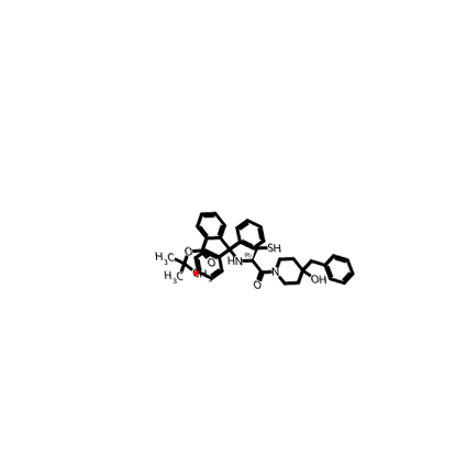 CC(C)(C)OC(=O)c1ccccc1C(N[C@@H](CS)C(=O)N1CCC(O)(Cc2ccccc2)CC1)(c1ccccc1)c1ccccc1